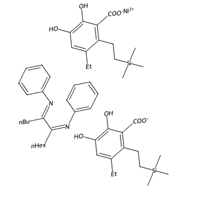 CCCCCCC(=Nc1ccccc1)C(CCCC)=Nc1ccccc1.CCc1cc(O)c(O)c(C(=O)[O-])c1CC[Si](C)(C)C.CCc1cc(O)c(O)c(C(=O)[O-])c1CC[Si](C)(C)C.[Ni+2]